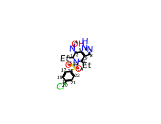 CCC1/C(=N/O)c2[nH]ncc2C(CC)N1S(=O)(=O)c1ccc(Cl)cc1